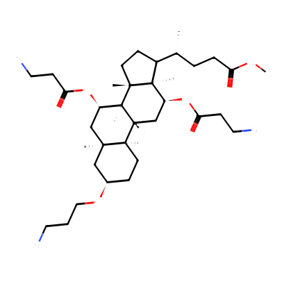 CCCCCCCCOC(=O)CC[C@@H](C)C1CC[C@H]2[C@@H]3[C@H](OC(=O)CCN)C[C@@H]4C[C@H](OCCCN)CC[C@]4(C)[C@H]3C[C@H](OC(=O)CCN)[C@]12C